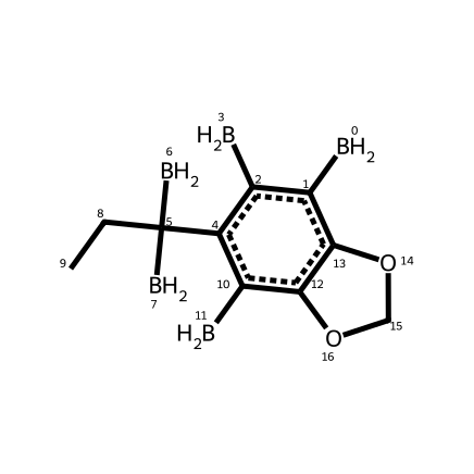 Bc1c(B)c(C(B)(B)CC)c(B)c2c1OCO2